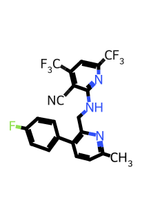 Cc1ccc(-c2ccc(F)cc2)c(CNc2nc(C(F)(F)F)cc(C(F)(F)F)c2C#N)n1